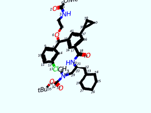 COC(=O)NCCOC(c1cccc(Cl)c1)c1cc(C(=O)N[C@@H](CC2CCCCC2)CN(C)C(=O)OC(C)(C)C)cc(C2CC2)c1